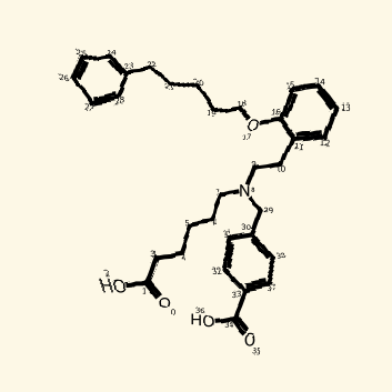 O=C(O)CCCCCN(CCc1ccccc1OCCCCCc1ccccc1)Cc1ccc(C(=O)O)cc1